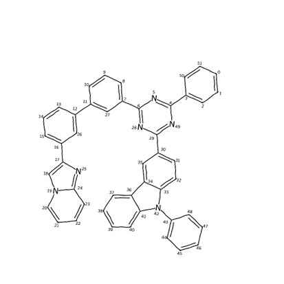 c1ccc(-c2nc(-c3cccc(-c4cccc(-c5cn6ccccc6n5)c4)c3)nc(-c3ccc4c(c3)c3ccccc3n4-c3ccccc3)n2)cc1